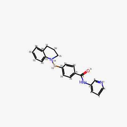 O=C(Nc1cccnc1)c1ccc(SN2CCCc3ccccc32)cc1